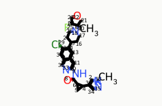 Cn1cc(C2CC2C(=O)Nc2cc3cc(C4CCN([C@@]5(C)COC[C@H]5F)CC4)c(Cl)cc3cn2)cn1